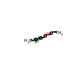 C=CCCC1CCC(COC2CCC(c3ccc(-c4ccc(CCC)c(F)c4F)cc3)CC2)CC1